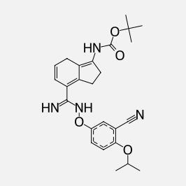 CC(C)Oc1ccc(ONC(=N)C2=C3CCC(NC(=O)OC(C)(C)C)=C3CC=C2)cc1C#N